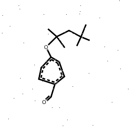 CC(C)(C)CC(C)(C)Oc1ccc(C=O)cc1